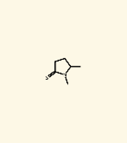 CC1CCC(=S)N1C